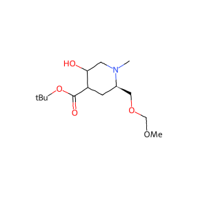 COCOC[C@H]1CC(C(=O)OC(C)(C)C)C(O)CN1C